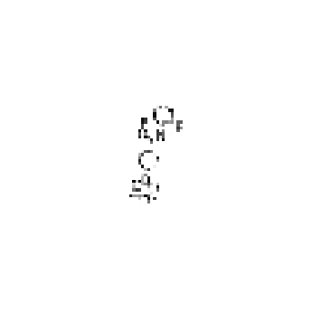 CC1(C)OB(c2ccc(C(=O)Nc3c(F)cccc3F)cc2)OC1(C)C